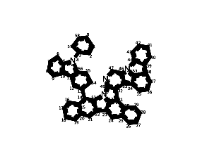 c1ccc(-n2c3ccccc3c3cc(-c4c5ccccc5cc5c6cc7ccccc7c7c8c9c%10cccc%11c%12ccccc%12n(c9cnc8n(c45)c67)c%11%10)ccc32)cc1